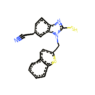 N#Cc1ccc2nc(S)n(Cc3cc4ccccc4s3)c2c1